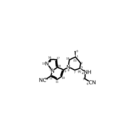 C[C@H]1C[C@@H](NCC#N)CN(c2ccc(C#N)n3nccc23)C1